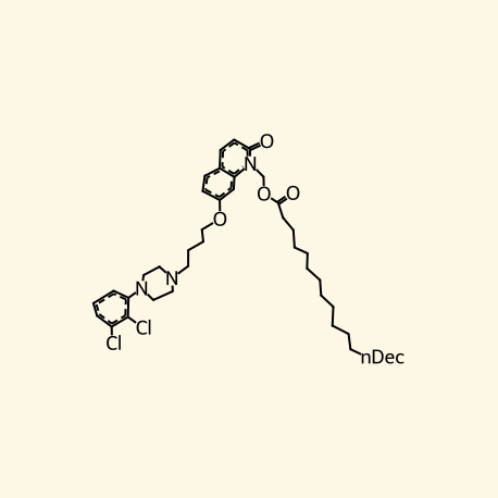 CCCCCCCCCCCCCCCCCCCCCC(=O)OCn1c(=O)ccc2ccc(OCCCCN3CCN(c4cccc(Cl)c4Cl)CC3)cc21